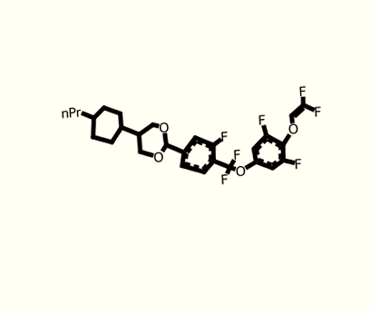 CCCC1CCC(C2COC(c3ccc(C(F)(F)Oc4cc(F)c(OC=C(F)F)c(F)c4)c(F)c3)OC2)CC1